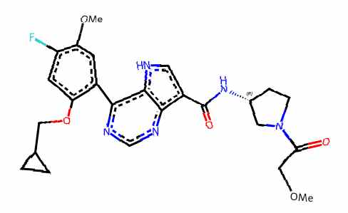 COCC(=O)N1CC[C@@H](NC(=O)c2c[nH]c3c(-c4cc(OC)c(F)cc4OCC4CC4)ncnc23)C1